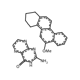 COc1cc2c3c(ccc2c2ccccc12)CCCC3.Nc1nc2nccnc2c(=O)[nH]1